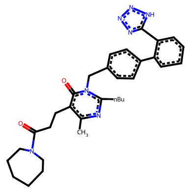 CCCCc1nc(C)c(CCC(=O)N2CCCCCC2)c(=O)n1Cc1ccc(-c2ccccc2-c2nnn[nH]2)cc1